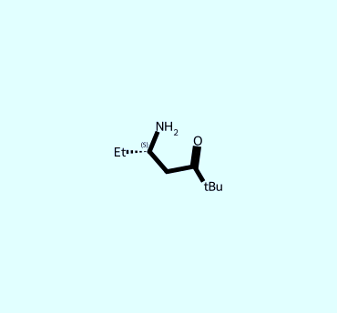 CC[C@H](N)CC(=O)C(C)(C)C